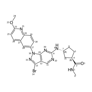 CNC(=O)[C@@H]1CC[C@@H](Nc2ncc3c(Br)nn(-c4ccc5nc(OC)ccc5c4)c3n2)C1